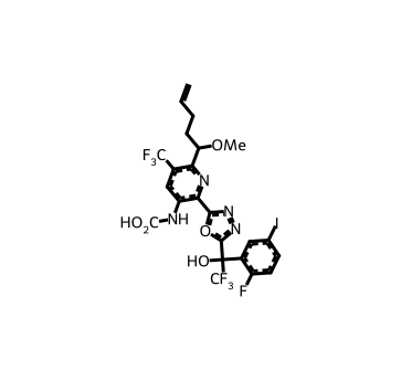 C=CCCC(OC)c1nc(-c2nnc(C(O)(c3cc(I)ccc3F)C(F)(F)F)o2)c(NC(=O)O)cc1C(F)(F)F